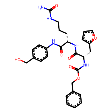 NC(=O)NCCC[C@H](NC(=O)[C@H](Cc1ccco1)NC(=O)OCc1ccccc1)C(=O)Nc1ccc(CO)cc1